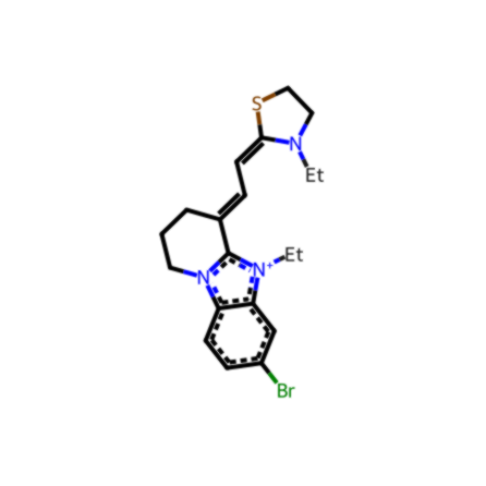 CCN1CCSC1=CC=C1CCCn2c1[n+](CC)c1cc(Br)ccc12